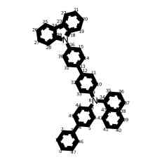 c1ccc(-c2ccc(N(c3ccc(-c4ccc(-n5c6ccccc6c6ccccc65)cc4)cc3)c3cccc4ccccc34)cc2)cc1